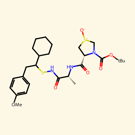 COc1ccc(CC(SNC(=O)[C@@H](C)NC(=O)[C@@H]2C[S+]([O-])CN2C(=O)OC(C)(C)C)C2CCCCC2)cc1